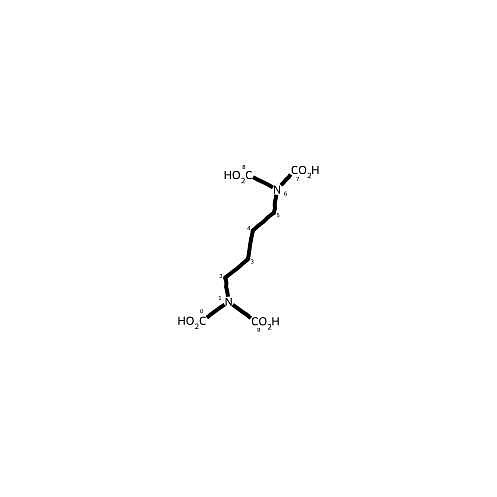 O=C(O)N(CCCCN(C(=O)O)C(=O)O)C(=O)O